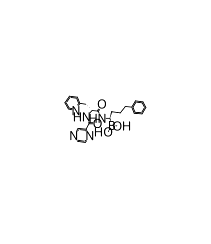 O=C(N[C@H](Cc1ccccn1)C(=O)N[C@@H](CCCc1ccccc1)B(O)O)c1cnccn1